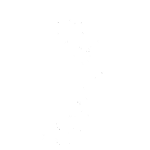 Cc1noc(-c2cccc(NC(=O)CCc3ccc4c(c3)CN(C3CCCOOC3)C4=O)c2)n1